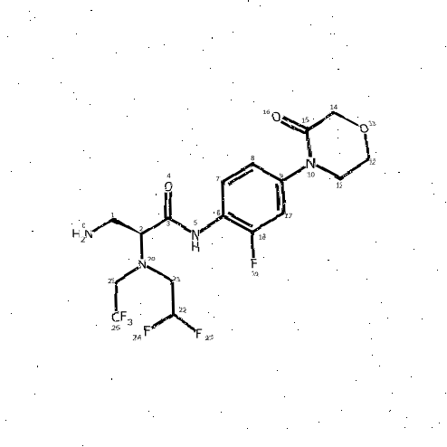 NC[C@@H](C(=O)Nc1ccc(N2CCOCC2=O)cc1F)N(CC(F)F)CC(F)(F)F